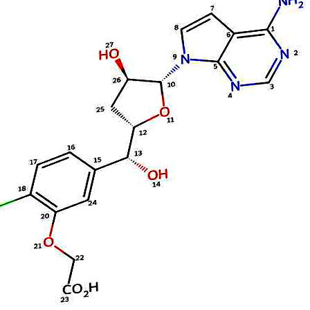 Nc1ncnc2c1ccn2[C@@H]1O[C@H]([C@H](O)c2ccc(Cl)c(OCC(=O)O)c2)C[C@H]1O